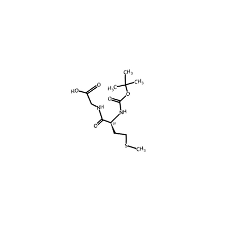 CSCC[C@H](NC(=O)OC(C)(C)C)C(=O)NCC(=O)O